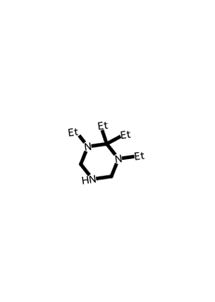 CCN1CNCN(CC)C1(CC)CC